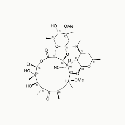 CC[C@H]1OC(=O)[C@H](C)[C@@H](O[C@H]2C[C@@](C)(OC)[C@@H](O)[C@H](C)O2)[C@H](C)[C@@H](O[C@@H]2O[C@H](C)C[C@H](N(C)C)[C@H]2OCC#N)[C@@](C)(OC)C[C@@H](C)C(=O)[C@H](C)[C@@H](O)[C@]1(C)O